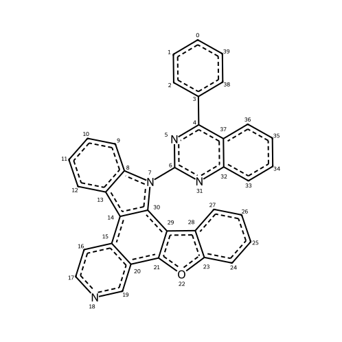 c1ccc(-c2nc(-n3c4ccccc4c4c5ccncc5c5oc6ccccc6c5c43)nc3ccccc23)cc1